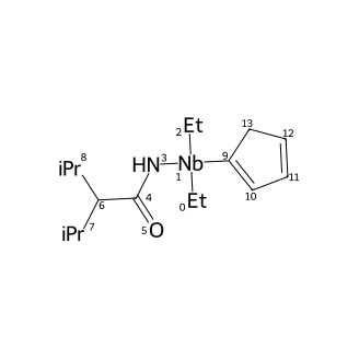 C[CH2][Nb]([CH2]C)([NH]C(=O)C(C(C)C)C(C)C)[C]1=CC=CC1